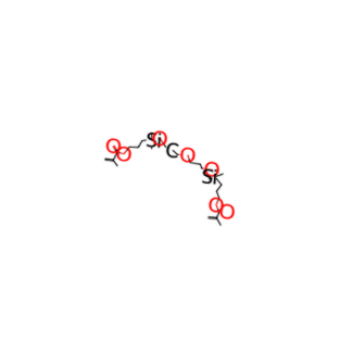 C=C(C)C(=O)OCCC[Si](C)(C)OCCCOCCCO[Si](C)(C)CCCOC(=O)C(=C)C